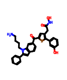 NCCCCn1c(-c2ccccc2)cc2ccc(C(=O)c3cc(CC(=O)NO)c(-c4cccc(O)c4)s3)cc21